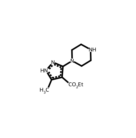 CCOC(=O)c1c(N2CCNCC2)n[nH]c1C